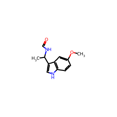 COc1ccc2[nH]cc(C(C)NC=O)c2c1